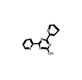 Oc1nc(-c2ccccn2)nc(-c2ccccn2)n1